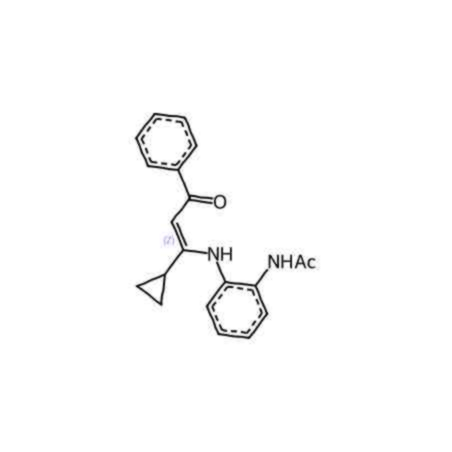 CC(=O)Nc1ccccc1N/C(=C\C(=O)c1ccccc1)C1CC1